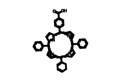 O=C(O)c1ccc(-c2c3nc(c(-c4ccccc4)c4ccc([nH]4)c(C4=CC=CCC4)c4nc(c(-c5ccccc5)c5ccc2[nH]5)C=C4)C=C3)cc1